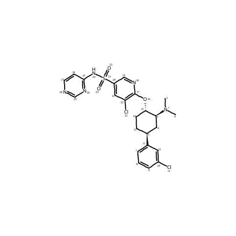 CN(C)[C@H]1C[C@@H](c2cccc(Cl)c2)CC[C@@H]1Oc1ncc(S(=O)(=O)Nc2ccncn2)cc1Cl